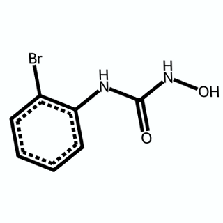 O=C(NO)Nc1ccccc1Br